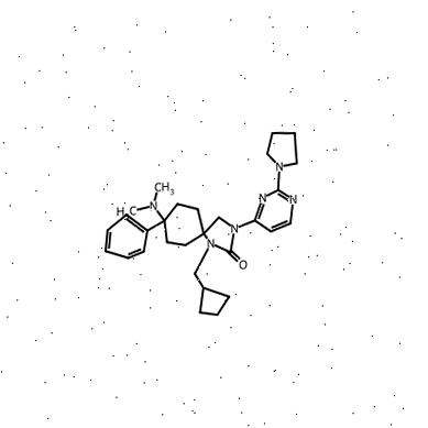 CN(C)C1(c2ccccc2)CCC2(CC1)CN(c1ccnc(N3CCCC3)n1)C(=O)N2CC1CCC1